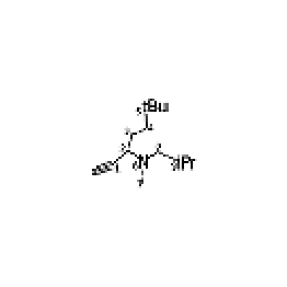 C#CC(CCC(C)(C)C)N(C)CC(C)C